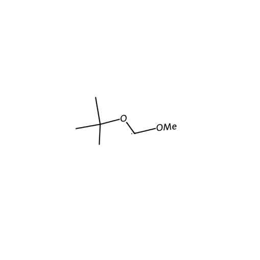 CO[CH]OC(C)(C)C